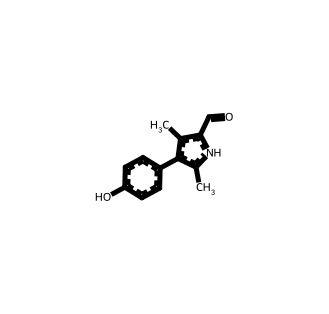 Cc1[nH]c(C=O)c(C)c1-c1ccc(O)cc1